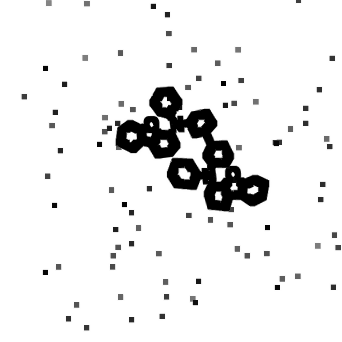 c1ccc(N(c2cccc(-c3cccc(N(c4ccccc4)c4cccc5c4oc4ccccc45)c3)c2)c2cccc3c2oc2ccccc23)cc1